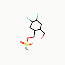 CS(=O)(=O)OCC1CC(F)C(F)CC1CO